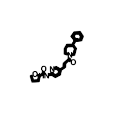 O=C(Nc1ccc(/C=C/C(=O)N2CCC=C(c3ccccc3)CC2)cn1)C1CCCO1